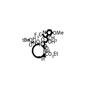 CCOC(=O)[C@@]12C[C@H]1C=CCCCCC[C@H](NC(=O)OC(C)(C)C)C(=O)N1C[C@]3(C[C@H]1C(=O)N2)CC(C)(O)c1c(c(C(F)(F)F)nc2ccc(OC)cc12)O3